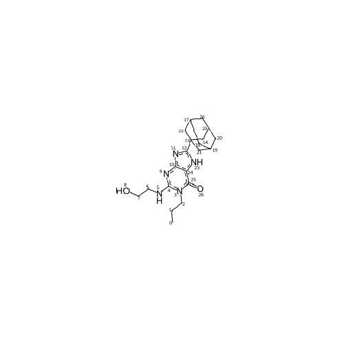 CCCn1c(NCCO)nc2nc(C34CC5CC(CC(C5)C3)C4)[nH]c2c1=O